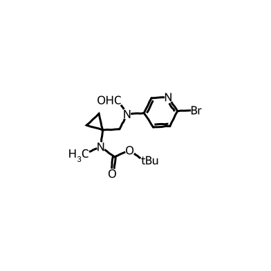 CN(C(=O)OC(C)(C)C)C1(CN(C=O)c2ccc(Br)nc2)CC1